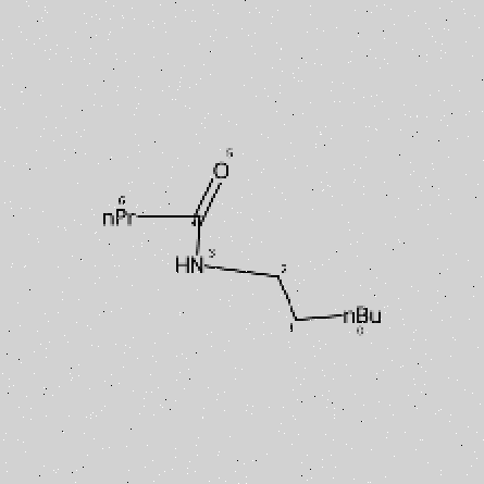 CCCCCCNC(=O)CCC